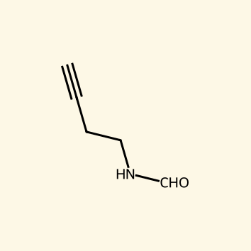 C#CCCNC=O